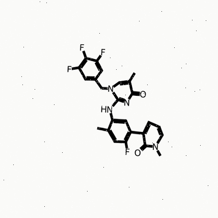 Cc1cc(F)c(-c2cccn(C)c2=O)cc1Nc1nc(=O)c(C)cn1Cc1cc(F)c(F)c(F)c1